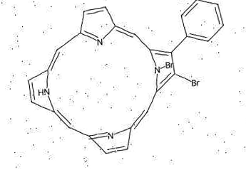 Brc1c(-c2ccccc2)c2cc3nc(cc4ccc(cc5nc(cc1n2Br)C=C5)[nH]4)C=C3